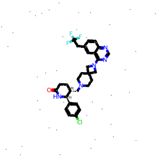 O=C1CC[C@H](CN2CCC3(CC2)CN(c2ncnc4ccc(CC(F)(F)F)cc24)C3)[C@@H](c2ccc(Cl)cc2)N1